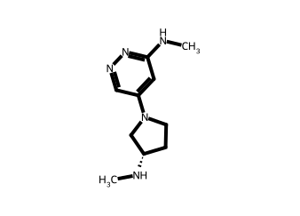 CNc1cc(N2CC[C@H](NC)C2)cnn1